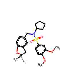 COc1ccc(S(=O)(=O)N(Cc2ccc3c(c2)CC(C)(C)O3)C2CCCC2)cc1OC